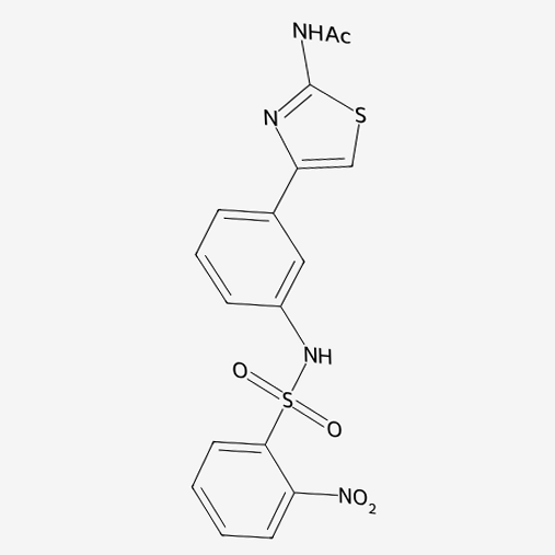 CC(=O)Nc1nc(-c2cccc(NS(=O)(=O)c3ccccc3[N+](=O)[O-])c2)cs1